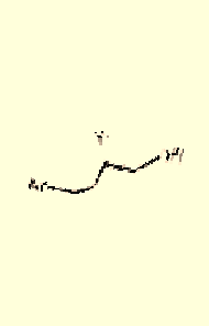 CCCCCCC(C)=O.[Y]